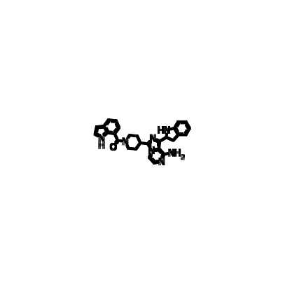 Nc1nccn2c(C3CCN(C(=O)c4cccc5cc[nH]c45)CC3)nc(C3Cc4ccccc4N3)c12